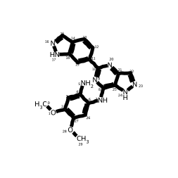 COc1cc(N)c(Nc2nc(-c3ccc4cn[nH]c4c3)nc3cn[nH]c23)cc1OC